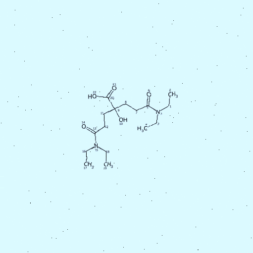 CCN(CC)C(=O)CCC(O)(CCC(=O)N(CC)CC)C(=O)O